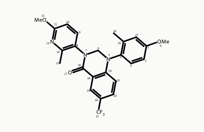 COc1ccc(N2CN(c3ccc(OC)nc3C)C(=O)c3cc(C(F)(F)F)ccc32)c(C)c1